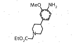 CCOC(=O)CN1CCC(c2ccc(N)c(OC)c2)CC1